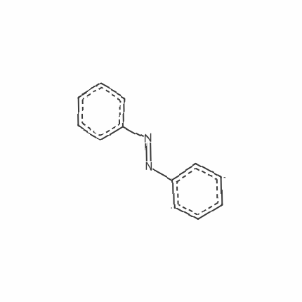 [c]1cc[c]c(/N=N/c2ccccc2)c1